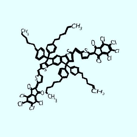 CCCCCCc1ccc(C2(c3ccc(CCCCCC)cc3)c3cc4c(cc3-c3sc(/C=c5\ccc(=C6C(=O)c7c(Cl)c(Cl)c(Cl)c(Cl)c7C6=O)s5)cc32)C(c2ccc(CCCCCC)cc2)(c2ccc(CCCCCC)cc2)c2cc(/C=c3\ccc(=C5C(=O)c6c(Cl)c(Cl)c(Cl)c(Cl)c6C5=O)s3)sc2-4)cc1